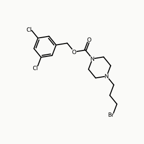 O=C(OCc1cc(Cl)cc(Cl)c1)N1CCN(CCCBr)CC1